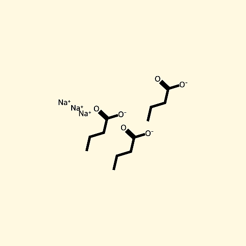 CCCC(=O)[O-].CCCC(=O)[O-].CCCC(=O)[O-].[Na+].[Na+].[Na+]